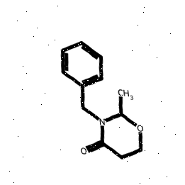 CC1OCCC(=O)N1Cc1ccccc1